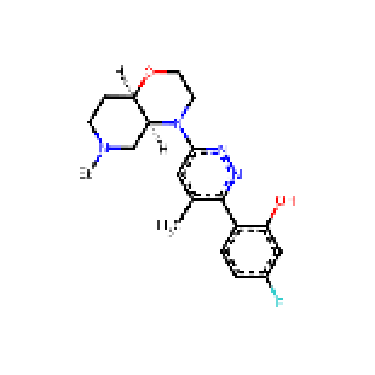 CCN1CC[C@H]2OCCN(c3cc(C)c(-c4ccc(F)cc4O)nn3)[C@H]2C1